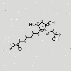 COC(=O)CCCCCC[C@@H]1[C@@H](CCC(C)O)[C@H](O)C[C@@H]1O